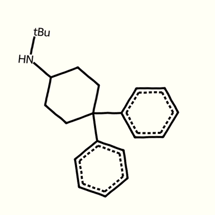 CC(C)(C)NC1CCC(c2ccccc2)(c2ccccc2)CC1